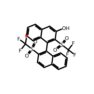 O=S(=O)(c1ccc2ccccc2c1-c1c(S(=O)(=O)C(F)(F)F)c(O)cc2ccccc12)C(F)(F)F